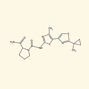 Cc1nc(NC(=O)N2CCCC2C(N)=O)sc1-c1csc(C2(C)CC2)n1